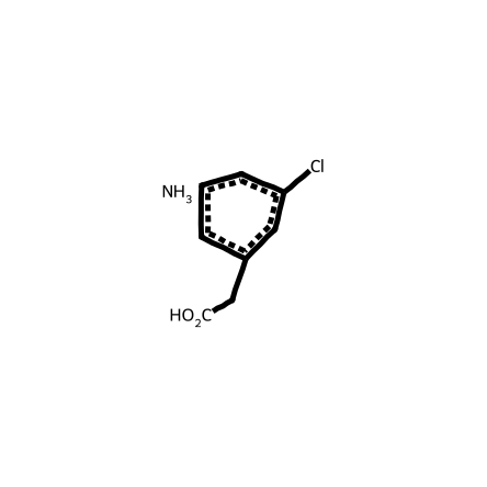 N.O=C(O)Cc1cccc(Cl)c1